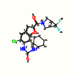 O=C1Nc2c(Cl)cc3cc(C(=O)N4CC5C(C4)C5(F)F)oc3c2C2(CCCCC2)N1